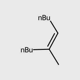 CCCC/C=C(/C)CCCC